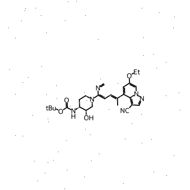 C=N/C(=C\C=C(/C)c1cc(OCC)cn2ncc(C#N)c12)N1CC[C@H](NC(=O)OC(C)(C)C)[C@H](O)C1